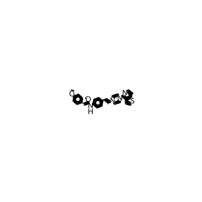 CO[C@H]1CC[C@H](CC(=O)N[C@H]2CC[C@H](CCN3CCN(c4nccc5sccc45)CC3)CC2)CC1